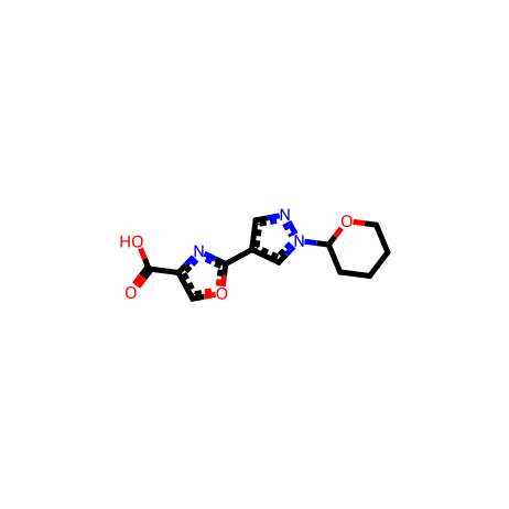 O=C(O)c1coc(-c2cnn(C3CCCCO3)c2)n1